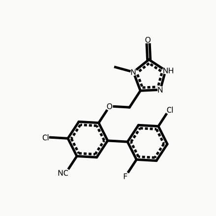 Cn1c(COc2cc(Cl)c(C#N)cc2-c2cc(Cl)ccc2F)n[nH]c1=O